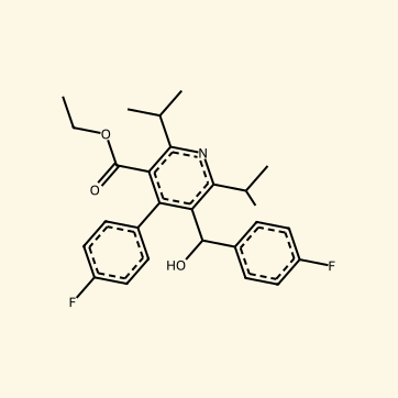 CCOC(=O)c1c(C(C)C)nc(C(C)C)c(C(O)c2ccc(F)cc2)c1-c1ccc(F)cc1